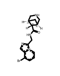 O=C(NCc1ncc2c(Br)cccn12)[C@H]1[C@@H]2CNC[C@H]1C2